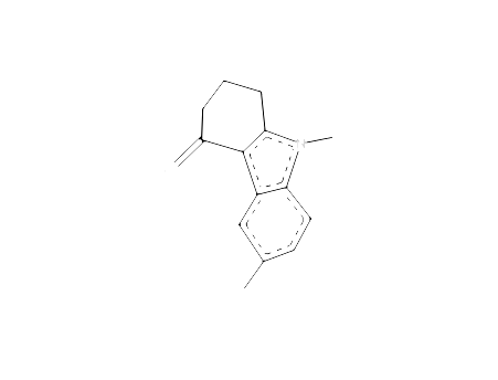 Cn1c2c(c3cc(Br)ccc31)C(=O)CCC2